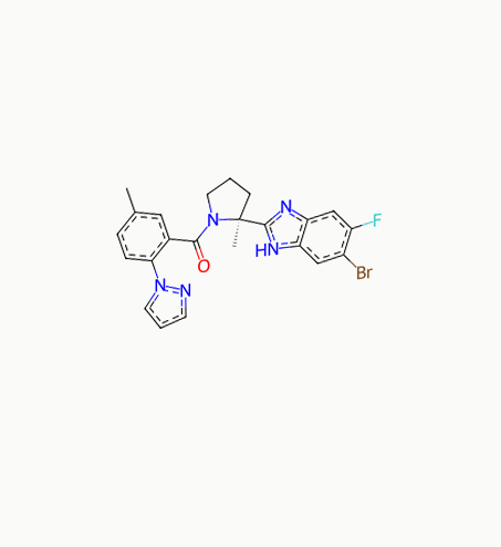 Cc1ccc(-n2cccn2)c(C(=O)N2CCC[C@@]2(C)c2nc3cc(F)c(Br)cc3[nH]2)c1